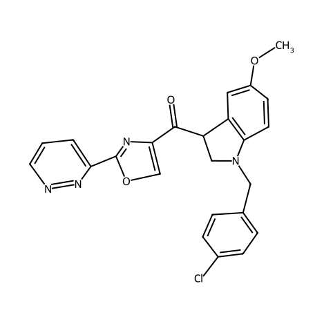 COc1ccc2c(c1)C(C(=O)c1coc(-c3cccnn3)n1)CN2Cc1ccc(Cl)cc1